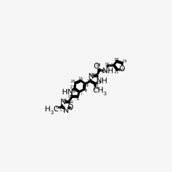 Cc1noc(-c2cc3cc(-c4nc(C(=O)NCc5ccoc5)[nH]c4C)ccc3[nH]2)n1